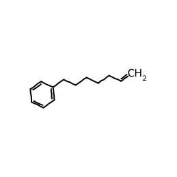 C=CCCCCCc1ccccc1